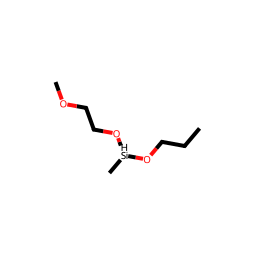 CCCO[SiH](C)OCCOC